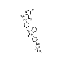 Cc1ncc(Cl)cc1C(=O)N[C@H]1CC[C@H](Cn2c(=O)n(-c3ccc(NCC(C)(F)F)nc3)c3ccccc32)CC1